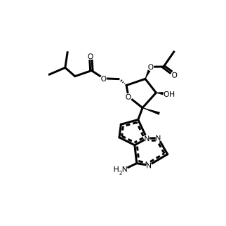 CC(=O)O[C@H]1[C@@H](O)[C@](C)(c2ccc3c(N)ncnn23)O[C@@H]1COC(=O)CC(C)C